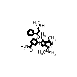 CNCCC(Oc1ccc(C(N)=O)cc1-n1nc2c(N(C)C)nnc(C)c2c1C)c1ccccc1